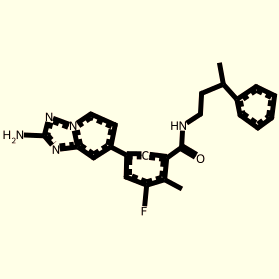 Cc1c(F)cc(-c2ccn3nc(N)nc3c2)cc1C(=O)NCCC(C)c1ccccc1